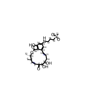 C[C@@H]1/C=C\C(=O)[C@@H](O)[C@@H](O)C/C=C/c2cc(NCCCS(C)(=O)=O)cc(O)c2C(=O)O[C@H]1C